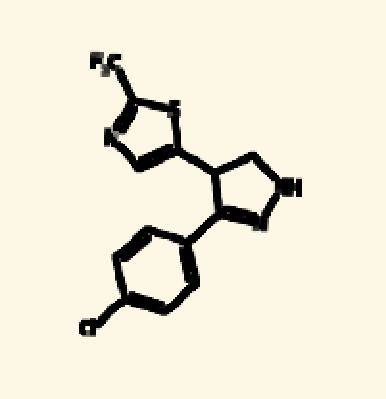 FC(F)(F)c1ncc(C2CNN=C2c2ccc(Cl)cc2)s1